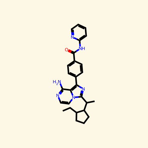 CCC1CCCC1C(C)c1nc(-c2ccc(C(=O)Nc3ccccn3)cc2)c2c(N)nccn12